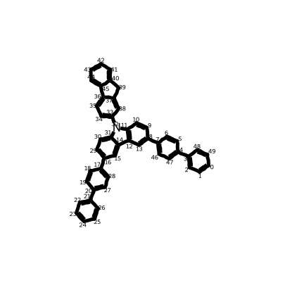 c1ccc(-c2ccc(-c3ccc4c(c3)c3cc(-c5ccc(-c6ccccc6)cc5)ccc3n4-c3ccc4c(c3)Cc3ccccc3-4)cc2)cc1